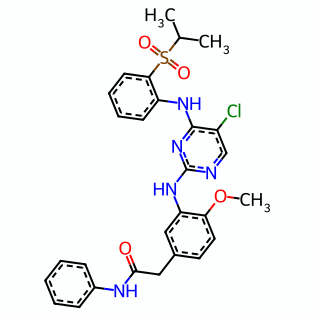 COc1ccc(CC(=O)Nc2ccccc2)cc1Nc1ncc(Cl)c(Nc2ccccc2S(=O)(=O)C(C)C)n1